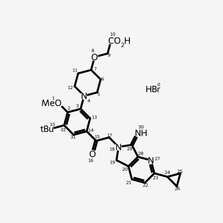 Br.COc1c(N2CCC(OCC(=O)O)CC2)cc(C(=O)CN2Cc3ccc(C4CC4)nc3C2=N)cc1C(C)(C)C